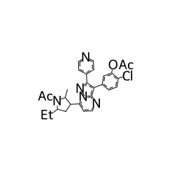 CCC1CC(c2ccnc3c(-c4ccc(Cl)c(OC(C)=O)c4)c(-c4ccncc4)nn23)C(C)N1C(C)=O